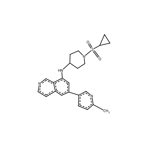 Cc1ccc(-c2cc(NC3CCN(S(=O)(=O)C4CC4)CC3)c3cnccc3c2)cn1